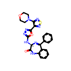 O=C1Nc2ccccc2C(c2ccccc2)=N[C@@H]1Nc1nnc(-c2nsnc2N2CCOCC2)o1